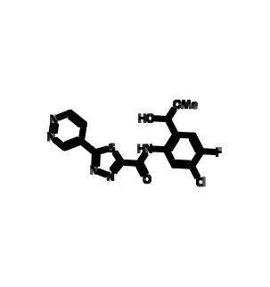 COC(O)c1cc(F)c(Cl)cc1NC(=O)c1nnc(-c2ccnnc2)s1